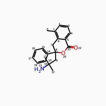 Cc1cccc2c1CC(CC(C)(C)N)(c1ccccc1)OC2=O